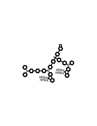 CCCCCCC1(CCCCCC)c2ccccc2-c2ccc(N(c3ccccc3)c3ccc(-c4ccc(C(C)(c5ccc(-c6ccc(N(c7ccc(-c8ccc(-c9ccc(N(c%10ccccc%10)c%10ccccc%10)cc9)cc8)cc7)c7ccc8c(c7)C(CCCCCC)(CCCCCC)c7ccccc7-8)cc6)cc5)c5ccc(-c6ccc7c(c6)CC7)cc5)cc4)cc3)cc21